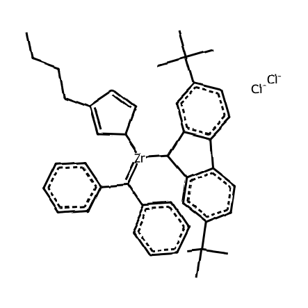 CCCCC1=C[CH]([Zr](=[C](c2ccccc2)c2ccccc2)[CH]2c3cc(C(C)(C)C)ccc3-c3ccc(C(C)(C)C)cc32)C=C1.[Cl-].[Cl-]